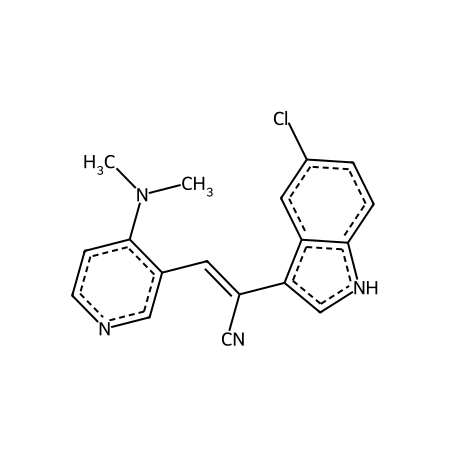 CN(C)c1ccncc1C=C(C#N)c1c[nH]c2ccc(Cl)cc12